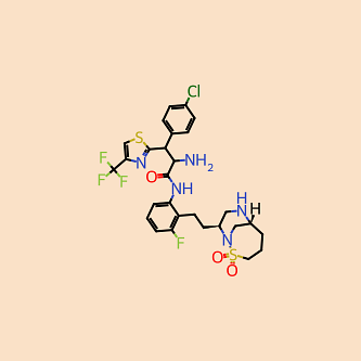 NC(C(=O)Nc1cccc(F)c1CC[C@H]1CN[C@@H]2CCCS(=O)(=O)N1C2)C(c1ccc(Cl)cc1)c1nc(C(F)(F)F)cs1